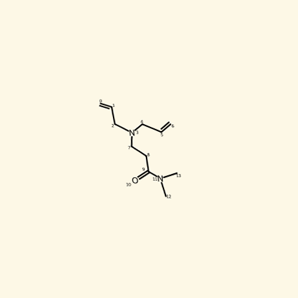 C=CCN(CC=C)CCC(=O)N(C)C